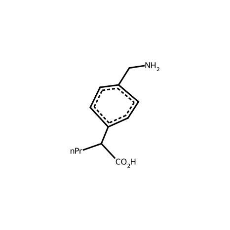 CCCC(C(=O)O)c1ccc(CN)cc1